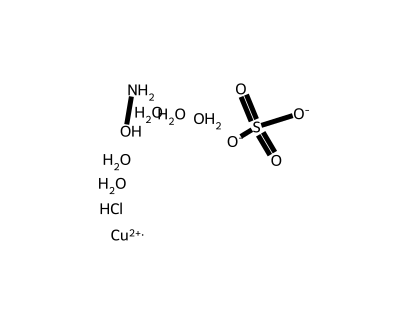 Cl.NO.O.O.O.O.O.O=S(=O)([O-])[O-].[Cu+2]